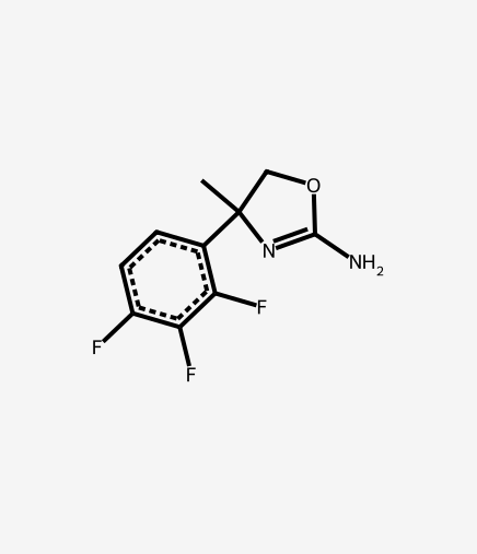 CC1(c2ccc(F)c(F)c2F)COC(N)=N1